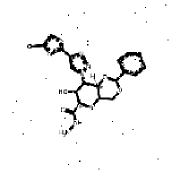 NNC(=O)[C@@H]1OC2COC(c3ccccc3)O[C@@H]2C(n2cc(-c3nc(Cl)cs3)nn2)C1O